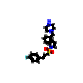 O=S(=O)(CC=Cc1ccc(F)cc1)n1ccc2c(CN3CCNCC3)cccc21